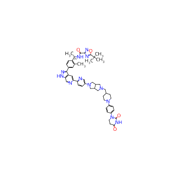 Cc1cc(-c2n[nH]c3cnc(-c4ccc(N5CC6CN(CC7CCN(c8ccc(N9CCC(=O)NC9=O)cc8)CC7)CC6C5)cn4)cc23)ccc1[C@@H](C)NC(=O)c1noc(C(C)(C)C)n1